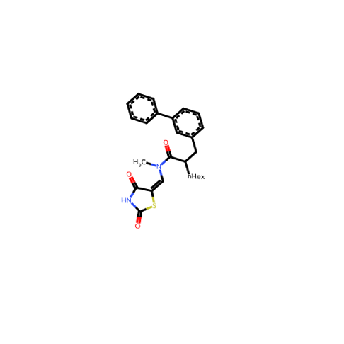 CCCCCCC(Cc1cccc(-c2ccccc2)c1)C(=O)N(C)C=C1SC(=O)NC1=O